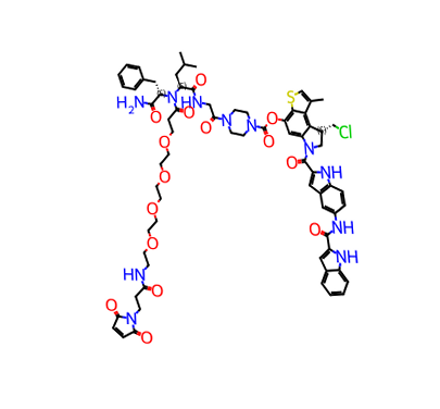 Cc1csc2c(OC(=O)N3CCN(C(=O)CNC(=O)[C@H](CC(C)C)N(C(=O)CCOCCOCCOCCOCCNC(=O)CCN4C(=O)C=CC4=O)[C@@H](Cc4ccccc4)C(N)=O)CC3)cc3c(c12)[C@H](CCl)CN3C(=O)c1cc2cc(NC(=O)c3cc4ccccc4[nH]3)ccc2[nH]1